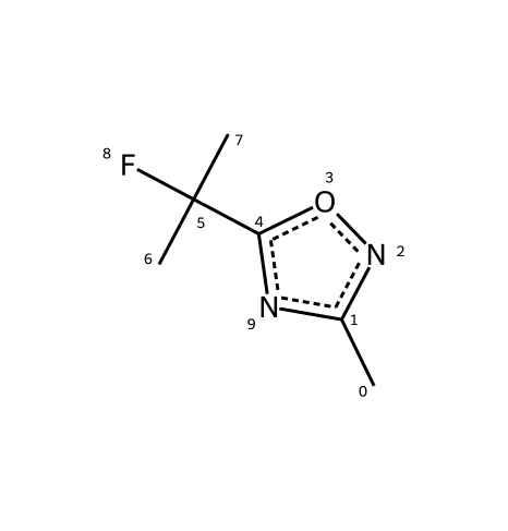 Cc1noc(C(C)(C)F)n1